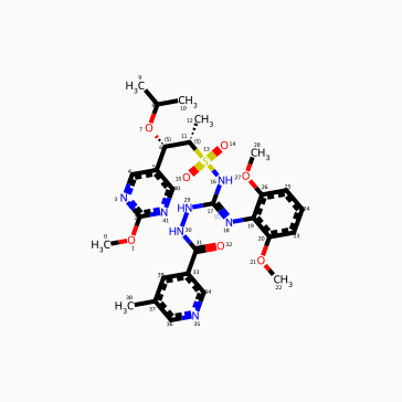 COc1ncc([C@H](OC(C)C)[C@H](C)S(=O)(=O)N/C(=N\c2c(OC)cccc2OC)NNC(=O)c2cncc(C)c2)cn1